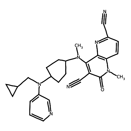 CN(c1c(C#N)c(=O)n(C)c2ccc(C#N)nc12)C1CCC(N(CC2CC2)c2cccnc2)CC1